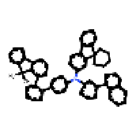 CC1(C)c2ccccc2-c2cccc(-c3ccccc3-c3ccc(N(c4cccc(-c5cccc6ccccc56)c4)c4ccc5c(c4)C4(CCCCC4)c4ccccc4-5)cc3)c21